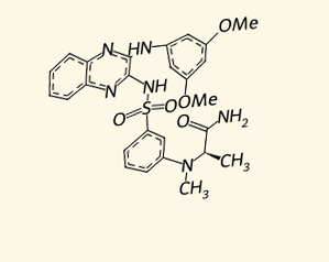 COc1cc(Nc2nc3ccccc3nc2NS(=O)(=O)c2cccc(N(C)[C@H](C)C(N)=O)c2)cc(OC)c1